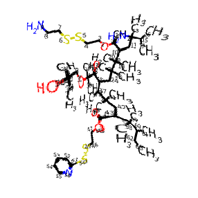 C=C(OCCSSCCN)C(CC(C)(N)C(C)C)C(C)(C)C(C)(C)CC(C(=O)C(C)(C)OCC(C)(C)O)C(C)C(C)(C)CC(C(=O)OCCSSc1ccccn1)C(C)(C)C(C)CC